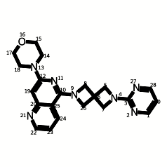 c1cnc(N2CC3(C2)CN(c2nc(N4CCOCC4)cc4ncccc24)C3)nc1